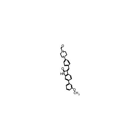 COc1cccc(-c2ccc3c(c2)NC(=O)C3=Cc2ccc(N3CCN(C=O)CC3)cc2)c1